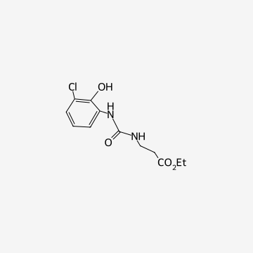 CCOC(=O)CCNC(=O)Nc1cccc(Cl)c1O